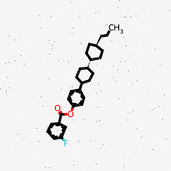 CCC[C@H]1CC[C@H](C2CCC(c3ccc(OC(=O)c4cccc(F)c4)cc3)CC2)CC1